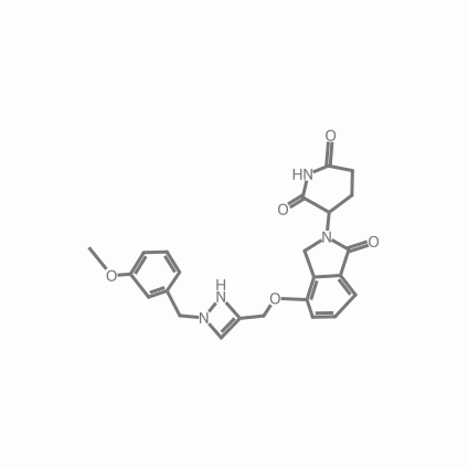 COc1cccc(Cn2cc(COc3cccc4c3CN(C3CCC(=O)NC3=O)C4=O)[nH]2)c1